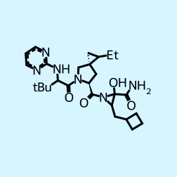 CCC1C[C@@]12C[C@@H](C(=O)N1C(CC3CCC3)C1(O)C(N)=O)N(C(=O)C(Nc1ncccn1)C(C)(C)C)C2